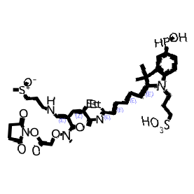 C=C(/N=C(/C=C/C=C/C=C1/N(CCCS(=O)(=O)O)c2ccc(PO)cc2C1(C)C)CC)/C(=C\C(=C/NCCC[S+](C)[O-])C(=O)N(C)OCC(=O)ON1C(=O)CCC1=O)CC